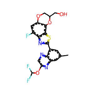 Cc1cc(-c2nc3c(F)cc4c(c3s2)OC(CO)CO4)c2ncc(OC(F)F)nc2c1